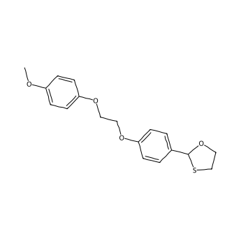 COc1ccc(OCCOc2ccc(C3OCCS3)cc2)cc1